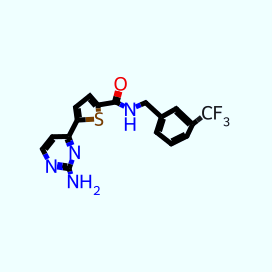 Nc1nccc(-c2ccc(C(=O)NCc3cccc(C(F)(F)F)c3)s2)n1